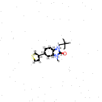 Cn1c(=O)n(CC(C)(C)C)c2ccc(-c3ccsc3)cc21